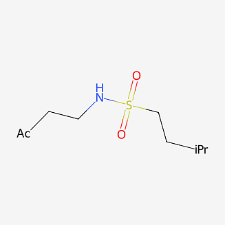 CC(=O)CCNS(=O)(=O)CCC(C)C